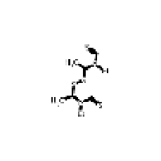 CCN(C=S)C(C)SSC(C)N(C=S)CC